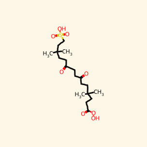 CC(C)(CCC(=O)CCC(=O)CCC(C)(C)CCS(=O)(=O)O)CCC(=O)OO